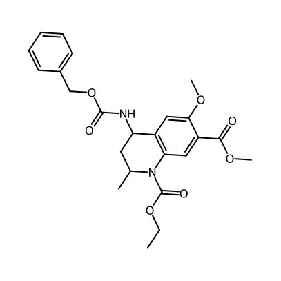 CCOC(=O)N1c2cc(C(=O)OC)c(OC)cc2C(NC(=O)OCc2ccccc2)CC1C